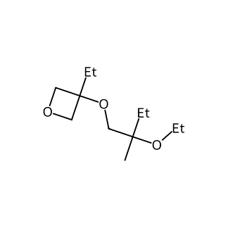 CCOC(C)(CC)COC1(CC)COC1